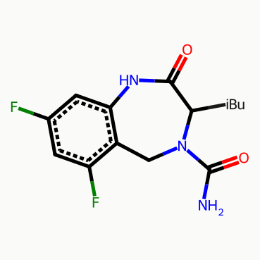 CCC(C)C1C(=O)Nc2cc(F)cc(F)c2CN1C(N)=O